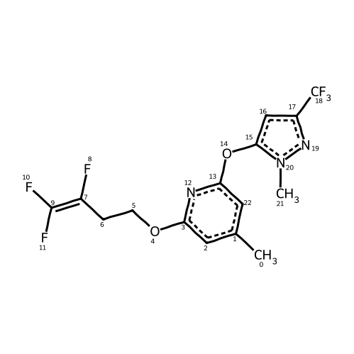 Cc1cc(OCCC(F)=C(F)F)nc(Oc2cc(C(F)(F)F)nn2C)c1